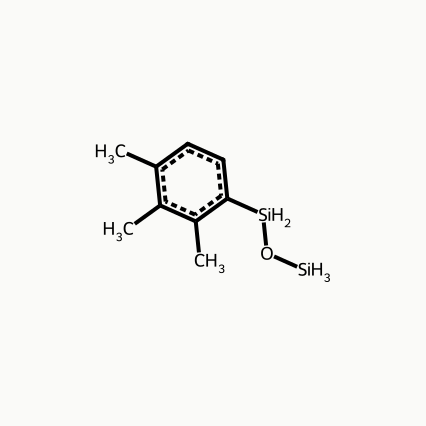 Cc1ccc([SiH2]O[SiH3])c(C)c1C